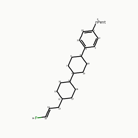 CCCCCc1ccc(C2CCC(C3CCC(C/C=C/F)CC3)CC2)cc1